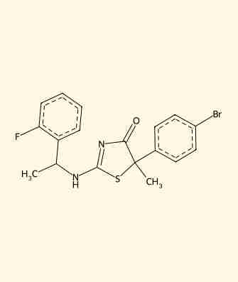 CC(NC1=NC(=O)C(C)(c2ccc(Br)cc2)S1)c1ccccc1F